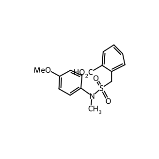 COc1ccc(N(C)S(=O)(=O)Cc2ccccc2C(=O)O)cc1